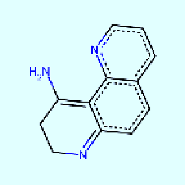 NC1=c2c(ccc3cccnc23)=NCC1